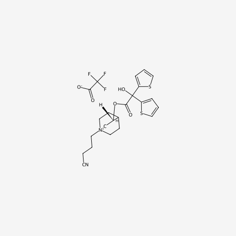 N#CCCC[N+]12CCC(CC1)[C@@H](OC(=O)C(O)(c1cccs1)c1cccs1)C2.O=C([O-])C(F)(F)F